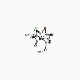 O=[N+]([O-])[Rh-2]([N+](=O)[O-])([N+](=O)[O-])([N+](=O)[O-])([N+](=O)[O-])[N+](=O)[O-].[Na+].[Na+]